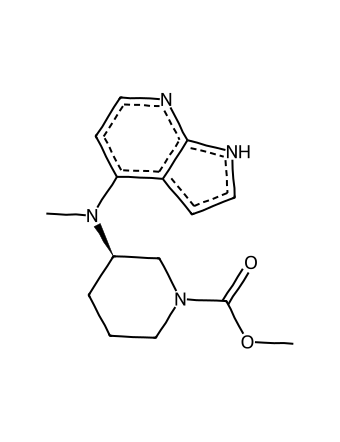 COC(=O)N1CCC[C@@H](N(C)c2ccnc3[nH]ccc23)C1